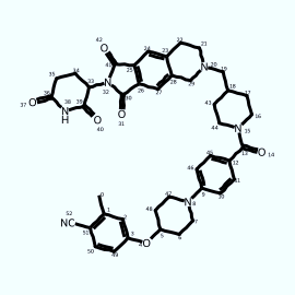 Cc1cc(OC2CCN(c3ccc(C(=O)N4CCC(CN5CCc6cc7c(cc6C5)C(=O)N(C5CCC(=O)NC5=O)C7=O)CC4)cc3)CC2)ccc1C#N